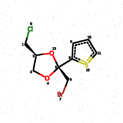 ClC[C@@H]1CO[C@@](CBr)(c2cccs2)O1